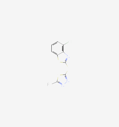 CCc1nnc(Sc2nc3c(Cl)cccc3s2)s1